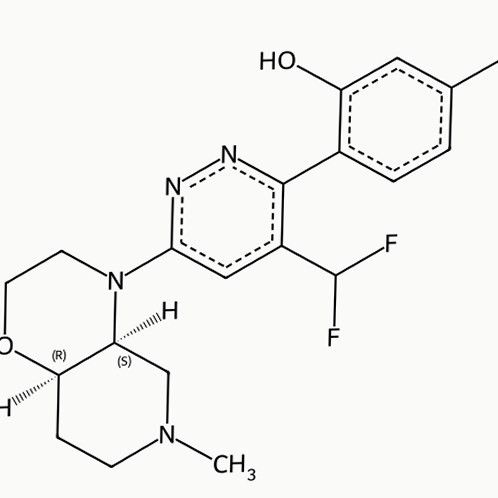 CN1CC[C@H]2OCCN(c3cc(C(F)F)c(-c4ccc(Cl)cc4O)nn3)[C@H]2C1